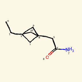 CCC12CC(CC(N)=O)(C1)C2